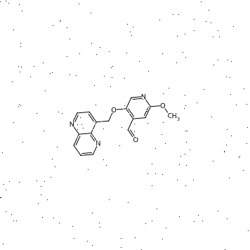 COc1cc(C=O)c(OCc2ccnc3cccnc23)cn1